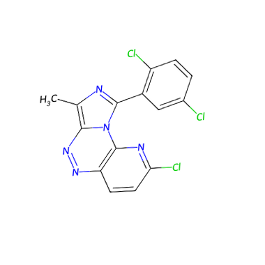 Cc1nc(-c2cc(Cl)ccc2Cl)n2c1nnc1ccc(Cl)nc12